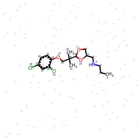 CCCNCC1COC(C(C)(C)COc2ccc(Cl)cc2Cl)O1